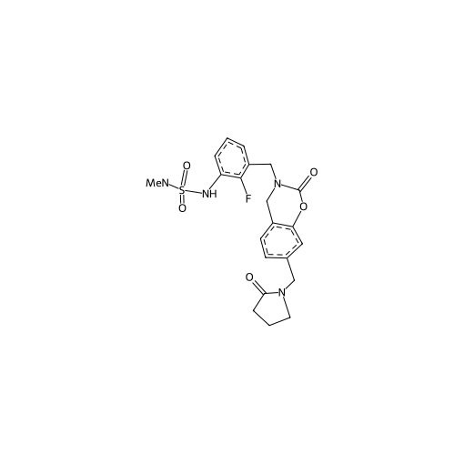 CNS(=O)(=O)Nc1cccc(CN2Cc3ccc(CN4CCCC4=O)cc3OC2=O)c1F